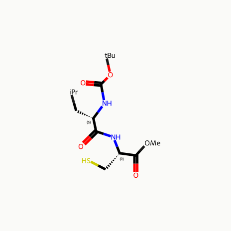 COC(=O)[C@H](CS)NC(=O)[C@H](CC(C)C)NC(=O)OC(C)(C)C